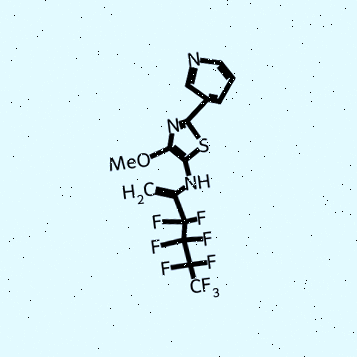 C=C(Nc1sc(-c2cccnc2)nc1OC)C(F)(F)C(F)(F)C(F)(F)C(F)(F)F